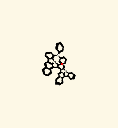 c1ccc(N(c2ccccc2)c2cccc3c4cc5ccccc5c5c6c7c8cc9ccccc9c9c%10ccccc%10n(c7cnc6n(c23)c45)c89)cc1